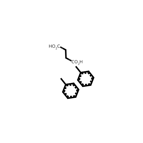 Cc1ccccc1.Cc1ccccc1.O=C(O)CCC(=O)O